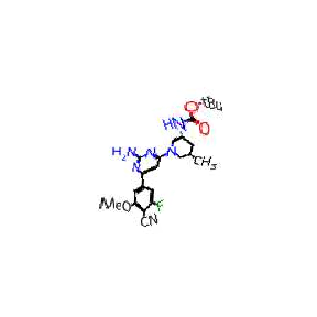 COc1cc(-c2cc(N3C[C@H](C)C[C@@H](NC(=O)OC(C)(C)C)C3)nc(N)n2)cc(F)c1C#N